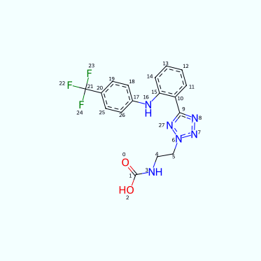 O=C(O)NCCn1nnc(-c2ccccc2Nc2ccc(C(F)(F)F)cc2)n1